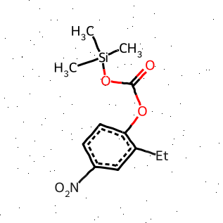 CCc1cc([N+](=O)[O-])ccc1OC(=O)O[Si](C)(C)C